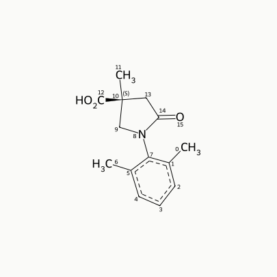 Cc1cccc(C)c1N1C[C@@](C)(C(=O)O)CC1=O